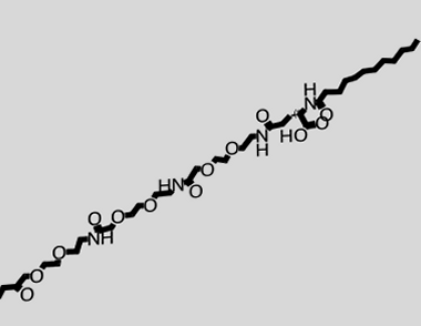 CCCCCCCCCCCC(=O)N[C@@H](CCC(=O)NCCOCCOCC(=O)NCCOCCOCC(=O)NCCOCCOCC(=O)CC)C(=O)O